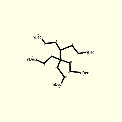 CCCCCCCCCCCC[C](CCCCCCCCCCCC)C(CCCCCCCCCCCC)(CCCCCCCCCCCC)CCCCCCCCCCCC